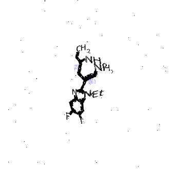 C=C/C(N)=C/C(=C\N)c1nc2cc(F)c(F)cc2n1CC